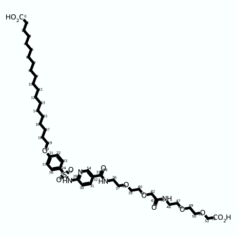 O=C(O)CCCCCCCCCCCCCCCCCCCOc1ccc(S(=O)(=O)Nc2ccc(C(=O)NCCOCCOCC(=O)NCCOCCOCC(=O)O)cn2)cc1